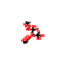 O.O.O.O.O.O.O[B-]1(O)OO[B-](O)(O)OO1.[Na+].[Na+]